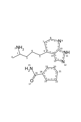 CC(N)CCCc1ccnc2[nH]ncc12.NC(=O)c1ccccc1